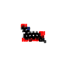 CC(=O)C1=C(O)CC2CC3Cc4c(-c5cncc(CO)c5)ccc(O)c4C(=O)C3=C(O)C2C1=O